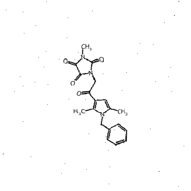 Cc1cc(C(=O)CN2C(=O)C(=O)N(C)C2=O)c(C)n1Cc1ccccc1